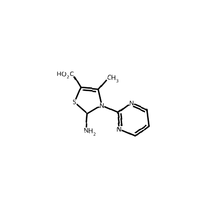 CC1=C(C(=O)O)SC(N)N1c1ncccn1